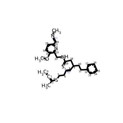 C=C=C(C)SCC/C=C/C(CCc1ccccc1)CC(=S)NCc1nc(/C=N/C)ccc1OC